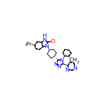 Cc1ccccc1-n1c(-c2ccncn2)nnc1[C@H]1CC[C@H](n2c(=O)[nH]c3cc(C(C)C)ccc32)CC1